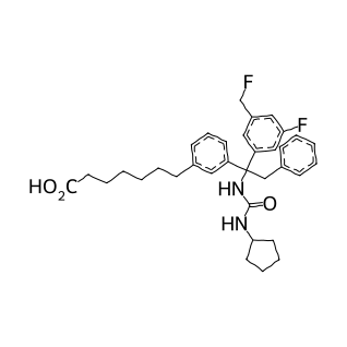 O=C(O)CCCCCCc1cccc(C(Cc2ccccc2)(NC(=O)NC2CCCC2)c2cc(F)cc(CF)c2)c1